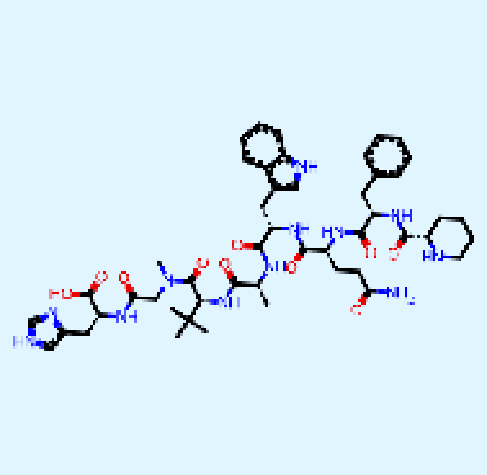 C[C@H](NC(=O)[C@H](Cc1c[nH]c2ccccc12)NC(=O)[C@H](CCC(N)=O)NC(=O)[C@@H](Cc1ccccc1)NC(=O)[C@@H]1CCCCN1)C(=O)N[C@H](C(=O)N(C)CC(=O)N[C@@H](Cc1c[nH]cn1)C(=O)O)C(C)(C)C